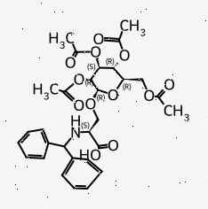 CC(=O)OC[C@H]1O[C@@H](OC[C@H](NC(c2ccccc2)c2ccccc2)C(=O)O)[C@H](OC(C)=O)[C@@H](OC(C)=O)[C@@H]1OC(C)=O